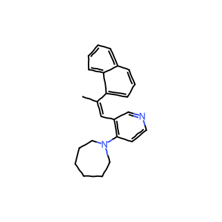 C/C(=C/c1cnccc1N1CCCCCC1)c1cccc2ccccc12